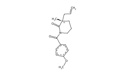 C=CC[C@]1(C)CCCN(C(=O)c2ccc(OC)cc2)C1=O